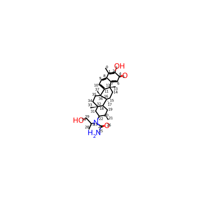 CC1=C(O)C(=O)C=C2C1=CC=C1[C@@]2(C)CC[C@@]2(C)C3C[C@@H](C)C(N(C(N)=O)C(C)CO)C[C@]3(C)CC[C@]12C